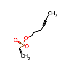 C=CS(=O)(=O)OCCCC#CC